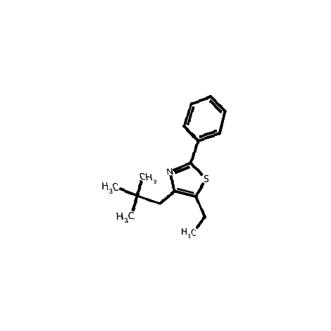 CCc1sc(-c2ccccc2)nc1CC(C)(C)C